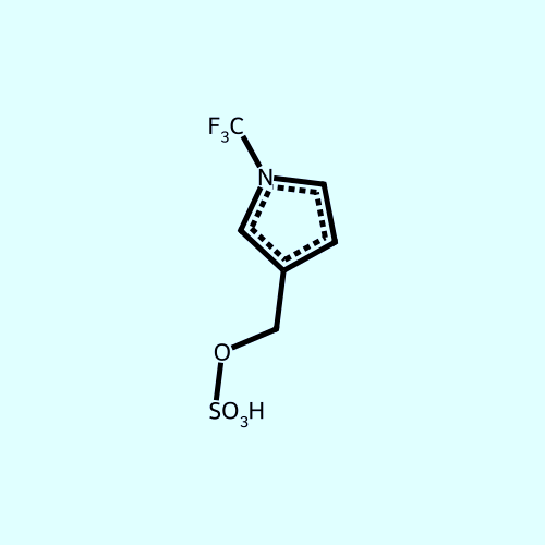 O=S(=O)(O)OCc1ccn(C(F)(F)F)c1